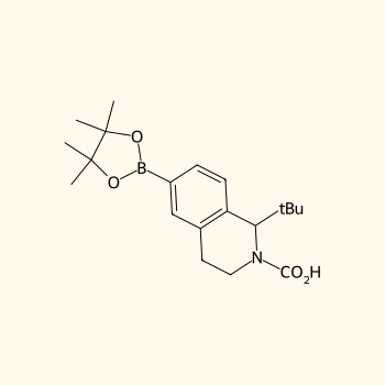 CC(C)(C)C1c2ccc(B3OC(C)(C)C(C)(C)O3)cc2CCN1C(=O)O